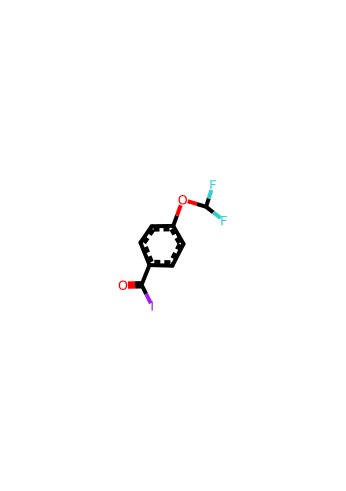 O=C(I)c1ccc(OC(F)F)cc1